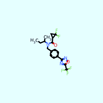 CCC(C)N(Cc1ccc(-c2noc(C(F)(F)F)n2)cc1)C(=O)C1CC1(F)F